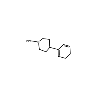 CCCN1CCC(C2=CCCC=C2)CC1